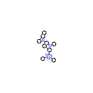 c1ccc(-c2nc(-c3ccccc3)nc(-c3ccc4c(c3)-c3cccc5c(-n6c7ccccc7c7cc8ccccc8cc76)ccc(c35)N4c3ccccc3)n2)cc1